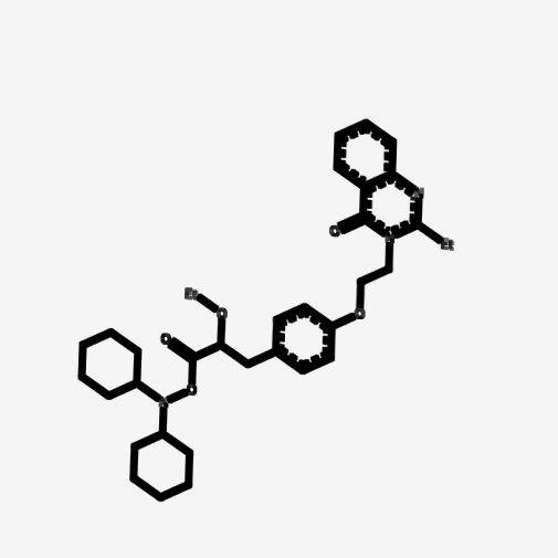 CCOC(Cc1ccc(OCCn2c(CC)nc3ccccc3c2=O)cc1)C(=O)ON(C1CCCCC1)C1CCCCC1